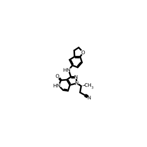 C[C@H](CC#N)n1nc(Nc2ccc3c(c2)CCO3)c2c(=O)[nH]ccc21